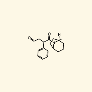 O=CCC(C(=O)N1C2CCC[C@@H]1CC2)c1ccccc1